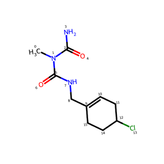 CN(C(N)=O)C(=O)NCC1=CCC(Cl)CC1